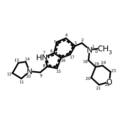 CN(Cc1ccc2[nH]c(CN3CCCC3)cc2c1)CC1CCOCC1